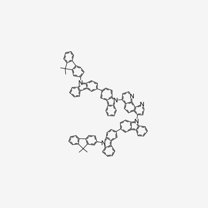 CC1(C)c2ccccc2-c2ccc(-n3c4ccccc4c4cc(-c5ccc6c(c5)c5ccccc5n6-c5ccnc6c5ccc5c(-n7c8ccccc8c8cc(-c9ccc%10c(c9)c9ccccc9n%10-c9ccc%10c(c9)C(C)(C)c9ccccc9-%10)ccc87)ccnc56)ccc43)cc21